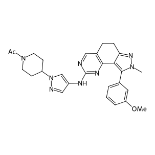 COc1cccc(-c2c3c(nn2C)CCc2cnc(Nc4cnn(C5CCN(C(C)=O)CC5)c4)nc2-3)c1